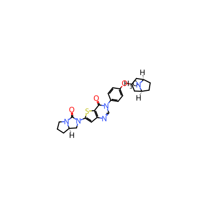 CN1[C@@H]2CC[C@H]1CC(Oc1ccc(-n3cnc4cc(N5C[C@H]6CCCN6C5=O)sc4c3=O)cc1)C2